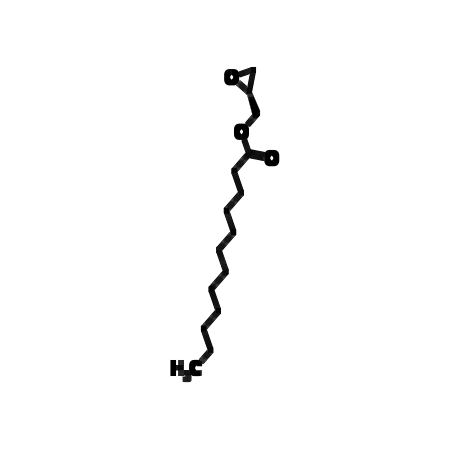 CCCCCCCCCCCC(=O)OC[C@@H]1CO1